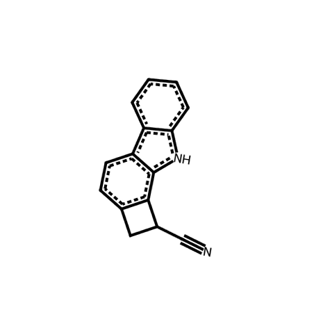 N#CC1Cc2ccc3c([nH]c4ccccc43)c21